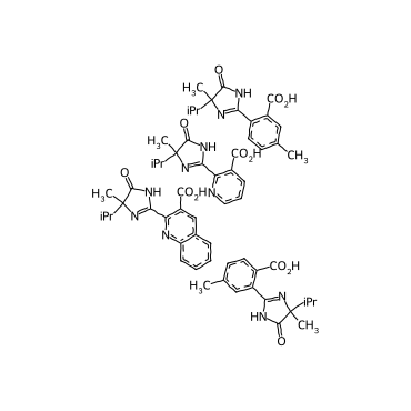 CC(C)C1(C)N=C(c2nc3ccccc3cc2C(=O)O)NC1=O.CC(C)C1(C)N=C(c2ncccc2C(=O)O)NC1=O.Cc1ccc(C(=O)O)c(C2=NC(C)(C(C)C)C(=O)N2)c1.Cc1ccc(C2=NC(C)(C(C)C)C(=O)N2)c(C(=O)O)c1